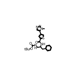 Cn1nncc1-c1csc(C(=O)NC(CNC(=O)OC(C)(C)C)Cc2ccccc2)c1